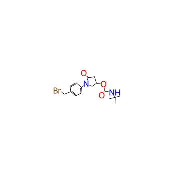 CC(C)(C)NC(=O)OC1CC(=O)N(c2ccc(CBr)cc2)C1